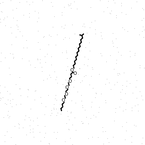 CCCCCOCCOCCOCCOCCCC(=O)OCCCCCCCCCCCCCCCC(C)C